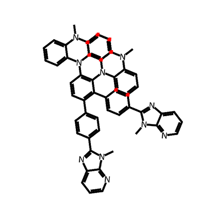 CN1c2ccccc2N(c2ccc(-c3ccc(-c4nc5cccnc5n4C)cc3)c(-c3ccc(-c4nc5cccnc5n4C)cc3)c2N2c3ccccc3N(C)c3ccccc32)c2ccccc21